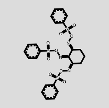 O=S(=O)(O/N=C1/CCCC(=N\OS(=O)(=O)c2ccccc2)/C1=N\OS(=O)(=O)c1ccccc1)c1ccccc1